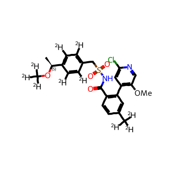 [2H]c1c([2H])c([C@H](C)OC([2H])([2H])[2H])c([2H])c([2H])c1CS(=O)(=O)NC(=O)c1ccc(C([2H])([2H])[2H])cc1-c1cc(Cl)ncc1OC